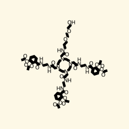 CC(=O)Oc1cccc(C(=O)NCCNC(=O)CN2CCN(CC(=O)NCCCOCCOCCO)CCN(CC(=O)NCCNC(=O)c3cccc(OC(C)=O)c3OC(C)=O)CCN(CC(=O)NCCNC(=O)c3cccc(OC(C)=O)c3OC(C)=O)CC2)c1OC(C)=O